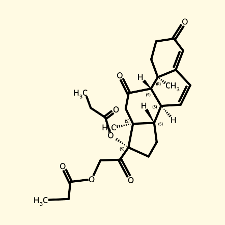 CCC(=O)OCC(=O)[C@]1(OC(=O)CC)CC[C@H]2[C@@H]3C=CC4=CC(=O)CC[C@]4(C)[C@H]3C(=O)C[C@@]21C